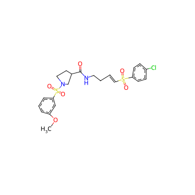 COc1cccc(S(=O)(=O)N2CCC(C(=O)NCC/C=C/S(=O)(=O)c3ccc(Cl)cc3)C2)c1